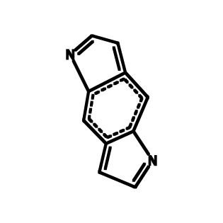 C1=Nc2cc3c(cc2=C1)N=CC=3